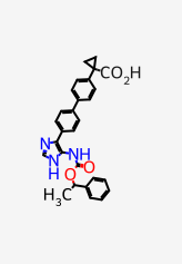 CC(OC(=O)Nc1[nH]cnc1-c1ccc(-c2ccc(C3(C(=O)O)CC3)cc2)cc1)c1ccccc1